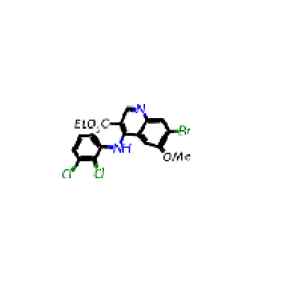 CCOC(=O)c1cnc2cc(Br)c(OC)cc2c1Nc1cccc(Cl)c1Cl